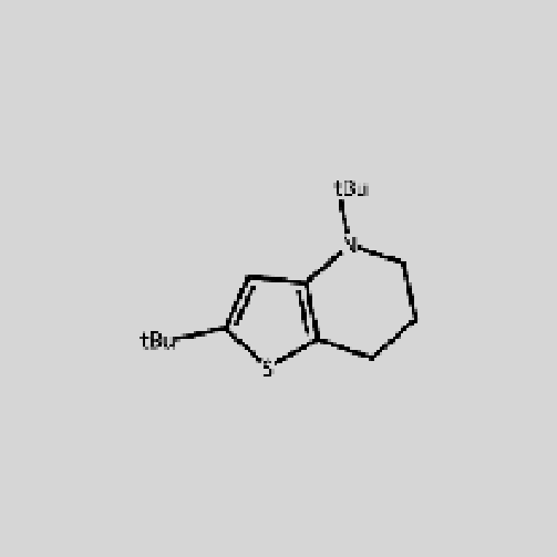 CC(C)(C)c1cc2c(s1)CCCN2C(C)(C)C